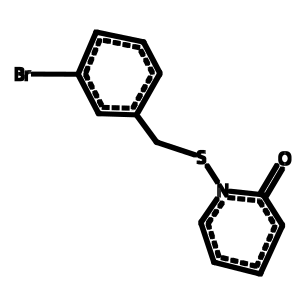 O=c1ccccn1SCc1cccc(Br)c1